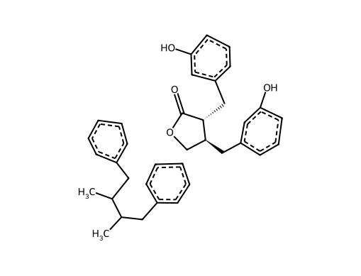 CC(Cc1ccccc1)C(C)Cc1ccccc1.O=C1OC[C@H](Cc2cccc(O)c2)[C@H]1Cc1cccc(O)c1